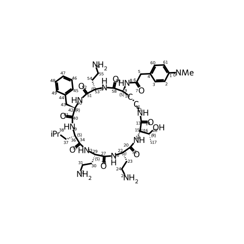 CNc1ccc(CC(=O)N[C@H]2CCNC(=O)[C@H]([C@@H](C)O)NC(=O)[C@H](CCN)NC(=O)[C@H](CCN)NC(=O)[C@H](CC(C)C)NC(=O)[C@@H](Cc3ccccc3)NC(=O)[C@H](CCN)NC2=O)cc1